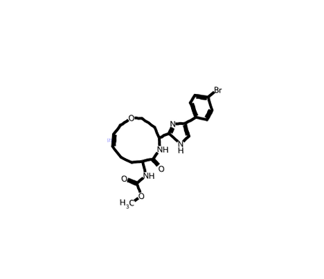 COC(=O)NC1CC/C=C\COCCC(c2nc(-c3ccc(Br)cc3)c[nH]2)NC1=O